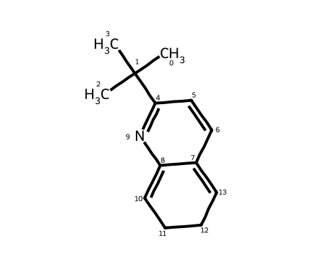 CC(C)(C)c1ccc2c(n1)=CCCC=2